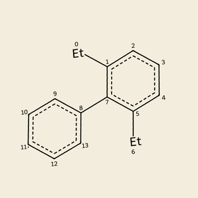 CCc1cccc(CC)c1-c1cc[c]cc1